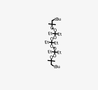 CCC(CC)(OOC(C)(C)CC(C)(C)C)OOC(CC)(CC)OOC(CC)(CC)OOC(C)(C)CC(C)(C)C